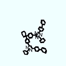 c1ccc(-c2ccc(-c3cc(-c4ccc(C5(c6ccc(-c7nc(-c8ccccc8)nc(-c8ccc(-c9ccccc9)cc8)n7)cc6)CCCCC5)cc4)nc(-c4ccccc4)n3)cc2)cc1